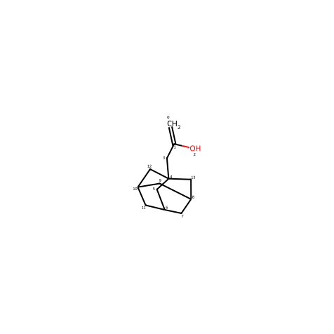 C=C(O)CC12CC3CC(CC(C3)C1)C2